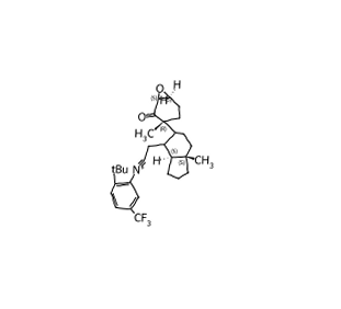 CC(C)(C)c1ccc(C(F)(F)F)cc1[N+]#CCC1C([C@@]2(C)CC[C@@H]3O[C@@H]3C2=O)CC[C@]2(C)CCC[C@@H]12